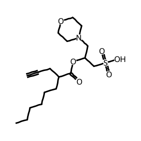 C#CCC(CCCCCC)C(=O)OC(CN1CCOCC1)CS(=O)(=O)O